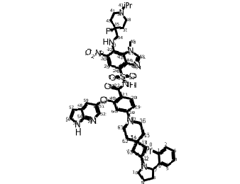 CC(C)c1ccccc1C1CCCN1C1CC2(CCN(c3ccc(C(=O)NS(=O)(=O)c4cc([N+](=O)[O-])c(NCC5(F)CCN(C(C)C)CC5)c5c4ncn5C)c(Oc4cnc5[nH]ccc5c4)c3)CC2)C1